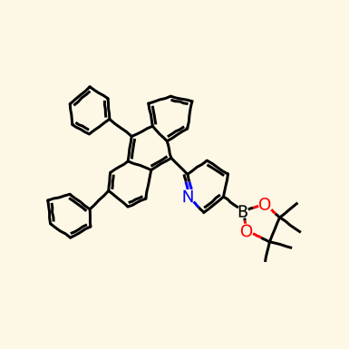 CC1(C)OB(c2ccc(-c3c4ccccc4c(-c4ccccc4)c4cc(-c5ccccc5)ccc34)nc2)OC1(C)C